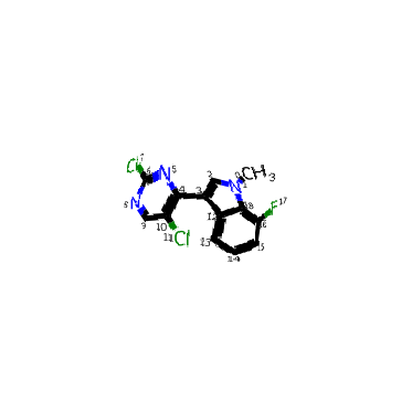 Cn1cc(-c2nc(Cl)ncc2Cl)c2cccc(F)c21